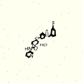 Cl.O=C(Nc1cccnc1)N1CCC(Oc2ccc(OCc3cccc(F)c3)cc2)CC1